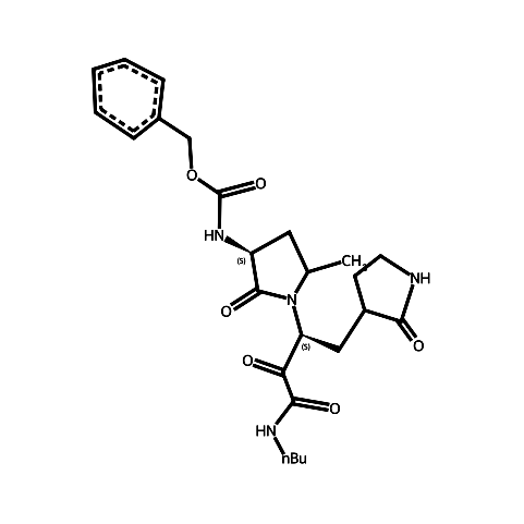 CCCCNC(=O)C(=O)[C@H](CC1CCNC1=O)N1C(=O)[C@@H](NC(=O)OCc2ccccc2)CC1C